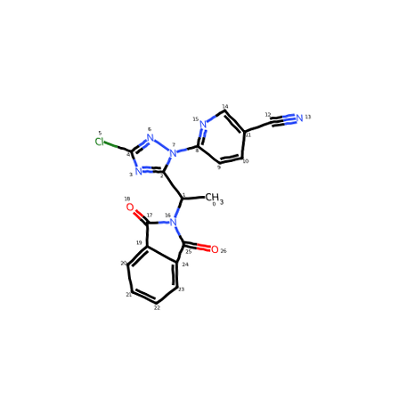 CC(c1nc(Cl)nn1-c1ccc(C#N)cn1)N1C(=O)c2ccccc2C1=O